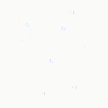 CCCCN(CCCC)c1cc(C(=O)N=O)cc(NCC)c1Oc1ccccc1